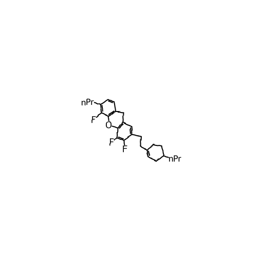 CCCc1ccc2c(c1F)Oc1c(cc(CCC3=CCC(CCC)CC3)c(F)c1F)C2